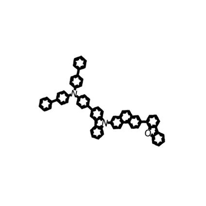 c1ccc(-c2ccc(N(c3ccc(-c4ccccc4)cc3)c3ccc(-c4ccc5c(c4)c4ccccc4n5-c4ccc5c(ccc6cc(-c7cccc8c7oc7ccccc78)ccc65)c4)cc3)cc2)cc1